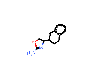 NC1=NC(C2CCc3ccccc3C2)CO1